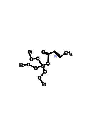 C/C=C/C(=O)O[Si](OOCC)(OOCC)OOCC